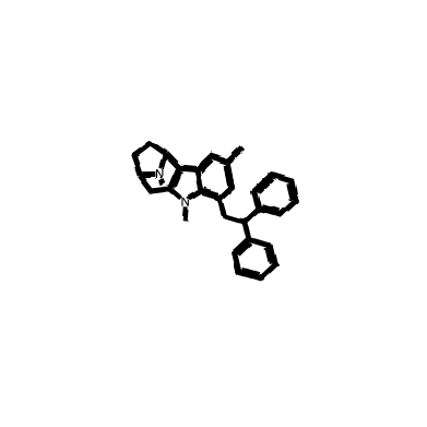 Cc1cc(CC(c2ccccc2)c2ccccc2)c2c(c1)c1c(n2C)CC2CCC1N2C